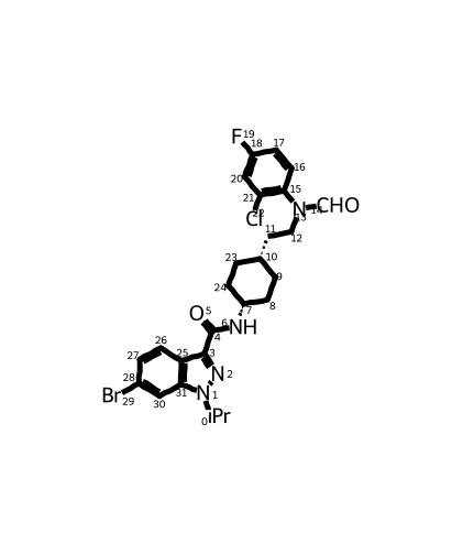 CC(C)n1nc(C(=O)N[C@H]2CC[C@@H](CCN(C=O)c3ccc(F)cc3Cl)CC2)c2ccc(Br)cc21